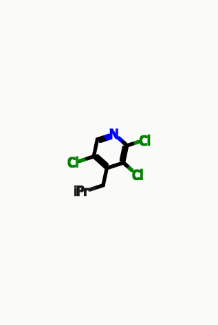 CC(C)Cc1c(Cl)cnc(Cl)c1Cl